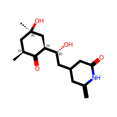 C=C1CC(C[C@@H](O)[C@@H]2C[C@](C)(O)C[C@H](C)C2=O)CC(=O)N1